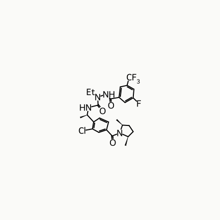 CCN(NC(=O)c1cc(F)cc(C(F)(F)F)c1)C(=O)N[C@H](C)c1ccc(C(=O)N2[C@H](C)CC[C@@H]2C)cc1Cl